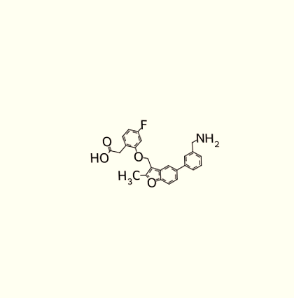 Cc1oc2ccc(-c3cccc(CN)c3)cc2c1COc1cc(F)ccc1CC(=O)O